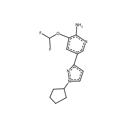 Nc1ncc(-c2ccn(C3CCCC3)n2)cc1OC(F)F